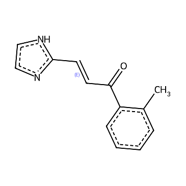 Cc1ccccc1C(=O)/C=C/c1ncc[nH]1